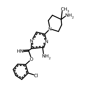 CC1(N)CCN(c2cnc(C(=N)Oc3ccccc3Cl)c(N)n2)CC1